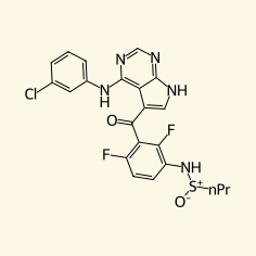 CCC[S+]([O-])Nc1ccc(F)c(C(=O)c2c[nH]c3ncnc(Nc4cccc(Cl)c4)c23)c1F